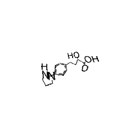 O=C(O)C(O)CCc1ccc(N2CCCN2)cc1